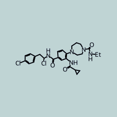 CCNC(=O)N1CCCN(c2ccc(C(=O)NC(Cl)Cc3ccc(Cl)cc3)cc2NC(=O)C2CC2)CC1